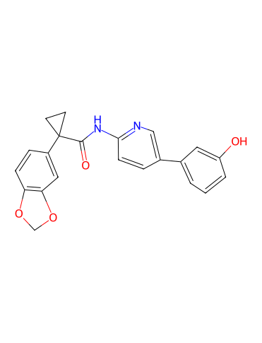 O=C(Nc1ccc(-c2cccc(O)c2)cn1)C1(c2ccc3c(c2)OCO3)CC1